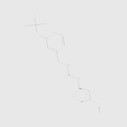 COC1CC2(NC(=O)NCc3cccc(OC(F)(F)F)c3)CC1C2